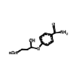 CCCCCCCCCCC(O)Oc1ccc(C(N)=O)cc1